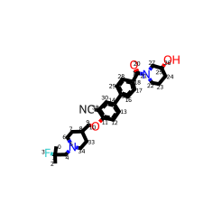 CC(C)(F)CN1CCC(COc2ccc(-c3ccc(C(=O)N4CCCC(O)C4)cc3)cc2C#N)CC1